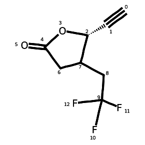 C#C[C@H]1OC(=O)CC1CC(F)(F)F